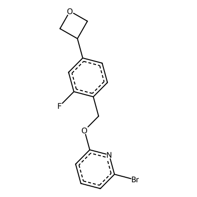 Fc1cc(C2COC2)ccc1COc1cccc(Br)n1